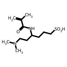 C=C(C)C(=O)NC(CCCS(=O)(=O)O)CCN(C)C